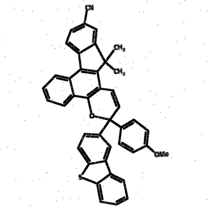 COc1ccc(C2(c3ccc4sc5ccccc5c4c3)C=Cc3c4c(c5ccccc5c3O2)-c2ccc(C#N)cc2C4(C)C)cc1